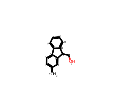 Cc1ccc2c(c1)C(CO)c1ccccc1-2